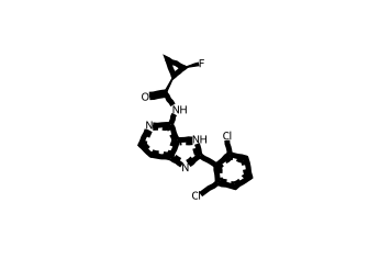 O=C(Nc1nccc2nc(-c3c(Cl)cccc3Cl)[nH]c12)[C@H]1C[C@H]1F